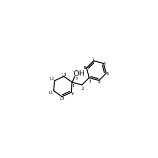 OC1(Cc2ccccc2)C=CCCC1